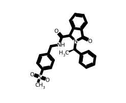 C[C@H](c1ccccc1)N1C(=O)c2ccccc2C1C(=O)NCc1ccc(S(C)(=O)=O)cc1